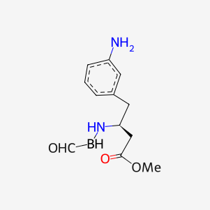 COC(=O)C[C@H](Cc1cccc(N)c1)NBC=O